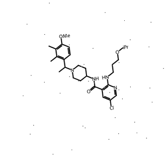 COc1ccc(C(C)N2CCC(NC(=O)c3cc(Cl)cnc3NCCCOC(C)C)CC2)c(C)c1C